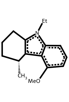 CCn1c2c(c3c(OC)cccc31)[C@H](C)CCC2